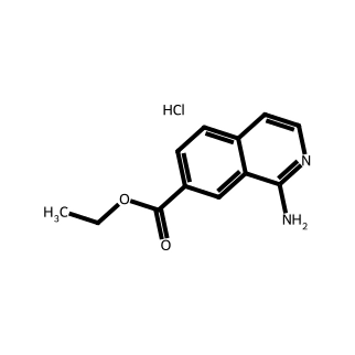 CCOC(=O)c1ccc2ccnc(N)c2c1.Cl